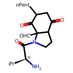 CCCCCC1CC(=O)C2CCN(C(=O)[C@@H](N)C(C)C)C2(C=O)C1=O